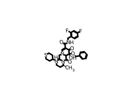 C[C@H]1CCN(C2CCSCC2)[C@@H]2CN3C=C(C(=O)NCc4ccc(F)cc4F)C(=O)C(O)(OCc4ccccc4)C3C(=O)N12